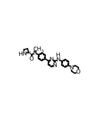 CN(C(=O)[C@@H]1CCN1)c1ccc(-c2ccnc(Nc3ccc(N4CCOCC4)cc3)n2)cc1